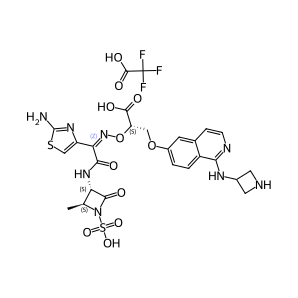 C[C@H]1[C@H](NC(=O)/C(=N\O[C@@H](COc2ccc3c(NC4CNC4)nccc3c2)C(=O)O)c2csc(N)n2)C(=O)N1S(=O)(=O)O.O=C(O)C(F)(F)F